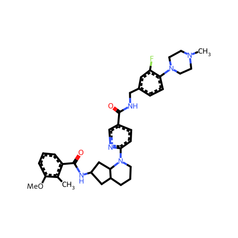 COc1cccc(C(=O)NC2CC3CCCN(c4ccc(C(=O)NCc5ccc(N6CCN(C)CC6)c(F)c5)cn4)C3C2)c1C